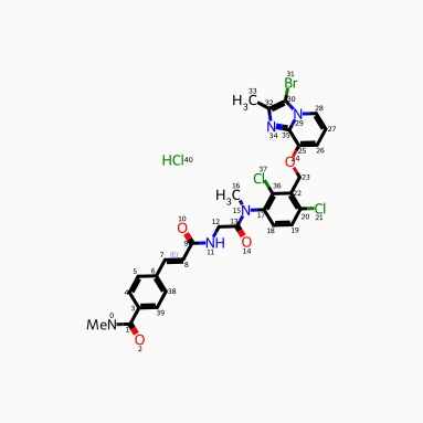 CNC(=O)c1ccc(/C=C/C(=O)NCC(=O)N(C)c2ccc(Cl)c(COc3cccn4c(Br)c(C)nc34)c2Cl)cc1.Cl